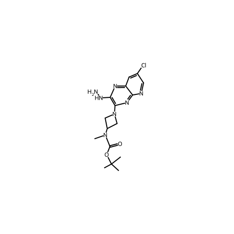 CN(C(=O)OC(C)(C)C)C1CN(c2nc3ncc(Cl)cc3nc2NN)C1